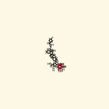 CC1(C)CCC2(C(=O)NCCNC(=O)c3ccc(I)cc3)C(O)CC3(C)C(=CCC4C5(C)CCC(OC6OC(C(=O)O)C(O)C(OC7OCC(O)C(O)C7O)C6OC6OC(CO)C(O)C(O)C6O)C(C)(C=O)C5CCC43C)C2C1